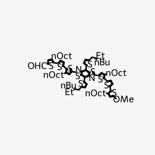 CCCCCCCCc1cc(C=O)sc1-c1ccc(-c2sc(-c3nc4c(-c5ccc(CC(CC)CCCC)s5)c5sc(-c6cc(CCCCCCCC)c(-c7ccc(-c8sc(OC)cc8CCCCCCCC)s7)s6)nc5c(-c5ccc(CC(CC)CCCC)s5)c4s3)cc2CCCCCCCC)s1